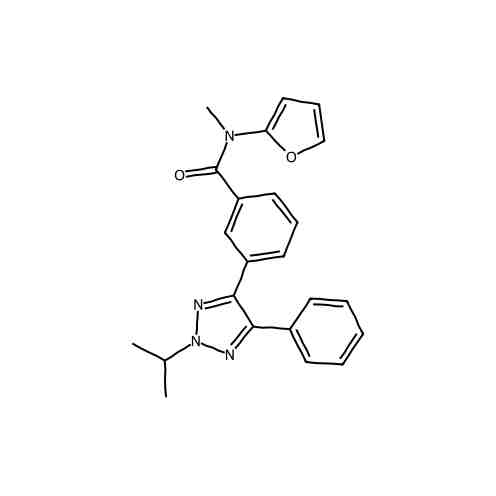 CC(C)n1nc(-c2ccccc2)c(-c2cccc(C(=O)N(C)c3ccco3)c2)n1